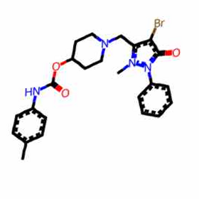 Cc1ccc(NC(=O)OC2CCN(Cc3c(Br)c(=O)n(-c4ccccc4)n3C)CC2)cc1